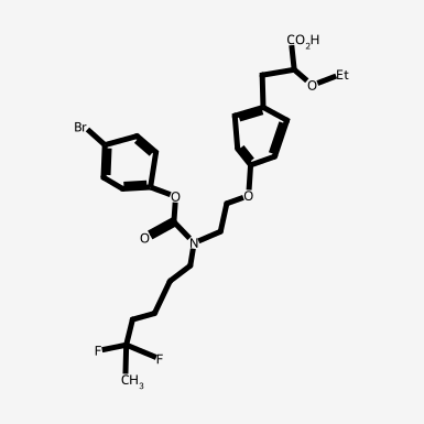 CCOC(Cc1ccc(OCCN(CCCCC(C)(F)F)C(=O)Oc2ccc(Br)cc2)cc1)C(=O)O